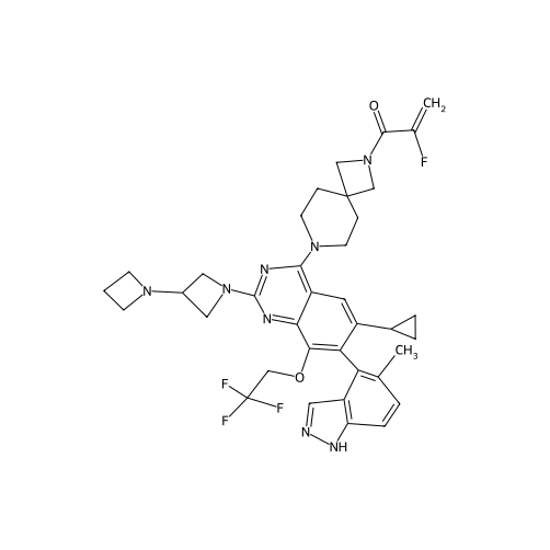 C=C(F)C(=O)N1CC2(CCN(c3nc(N4CC(N5CCC5)C4)nc4c(OCC(F)(F)F)c(-c5c(C)ccc6[nH]ncc56)c(C5CC5)cc34)CC2)C1